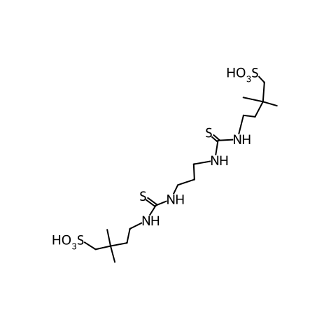 CC(C)(CCNC(=S)NCCCNC(=S)NCCC(C)(C)CS(=O)(=O)O)CS(=O)(=O)O